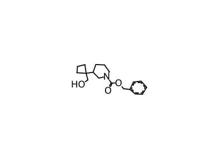 O=C(OCc1ccccc1)N1CCCC(C2(CO)CCC2)C1